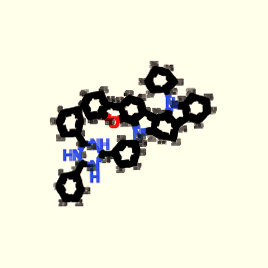 c1ccc(C2NC(c3ccccc3)NC(c3cccc(-n4c5ccc6c7ccccc7n(-c7ccccc7)c6c5c5ccc6c7ccccc7oc6c54)c3)N2)cc1